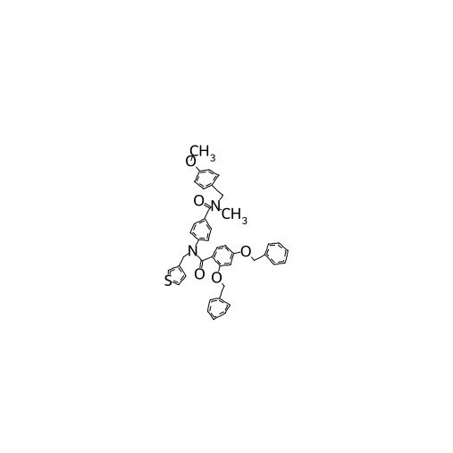 COc1ccc(CN(C)C(=O)c2ccc(N(Cc3ccsc3)C(=O)c3ccc(OCc4ccccc4)cc3OCc3ccccc3)cc2)cc1